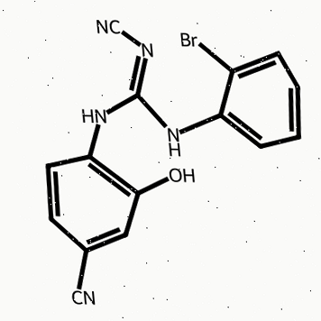 N#C/N=C(\Nc1ccc(C#N)cc1O)Nc1ccccc1Br